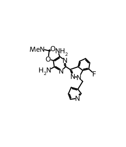 CNC(=O)Oc1c(N)nc(-c2nn(Cc3cccnc3)c3c(F)cccc23)nc1N